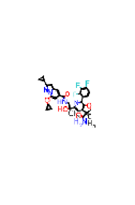 C[C@]1(C(N)=O)COc2c1cc(C(O)(CNC(=O)c1cc(OC3CC3)n3nc(C4CC4)cc3c1)C(F)(F)F)nc2-c1ccc(F)c(F)c1F